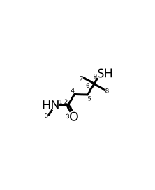 CNC(=O)CCC(C)(C)S